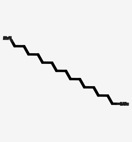 CNCCCCCCCCCCCCCCCNC